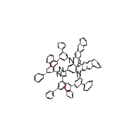 c1ccc(-c2cc(-c3ccccc3)cc(-c3cc(-c4cc5c6c(c4)N(c4cc(-c7ccccc7)cc(-c7ccccc7)c4)c4cc7cc8ccccc8cc7cc4B6c4cc6cc7ccccc7cc6cc4N5c4cc(-c5ccccc5)cc(-c5ccccc5)c4)nc(-c4cc(-c5ccccc5)cc(-c5ccccc5)c4)n3)c2)cc1